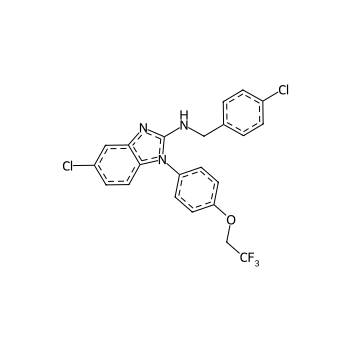 FC(F)(F)COc1ccc(-n2c(NCc3ccc(Cl)cc3)nc3cc(Cl)ccc32)cc1